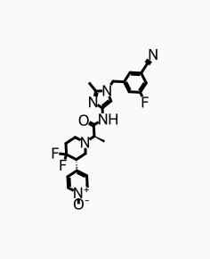 Cc1nc(NC(=O)[C@@H](C)N2CCC(F)(F)[C@@H](c3cc[n+]([O-])cc3)C2)cn1Cc1cc(F)cc(C#N)c1